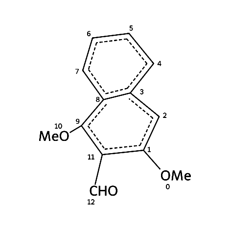 COc1cc2ccccc2c(OC)c1C=O